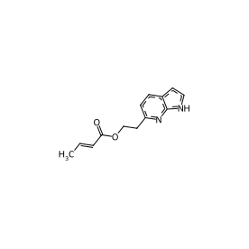 CC=CC(=O)OCCc1ccc2cc[nH]c2n1